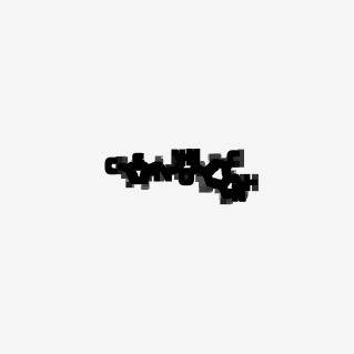 Clc1ccc(CNc2nnc(-c3cc(Cl)c4[nH]ncc4c3)o2)s1